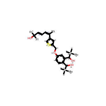 CC/C(=C/C=C/C(O)(CC)CC)c1csc(COc2ccc(C(O)[Si](C)(C)C(C)(C)C)c(C(O)[Si](C)(C)C(C)(C)C)c2)c1